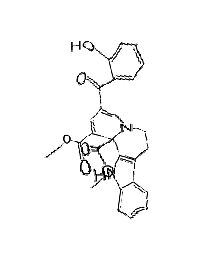 COC(=O)C1=CC(C(=O)c2ccccc2O)=CN2CCc3c([nH]c4ccccc34)C12C(=O)OC